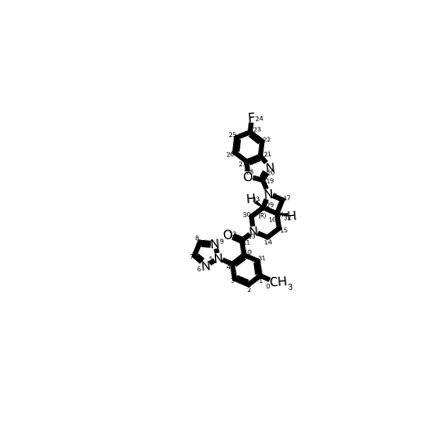 Cc1ccc(-n2nccn2)c(C(=O)N2CC[C@H]3CN(c4nc5cc(F)ccc5o4)[C@H]3C2)c1